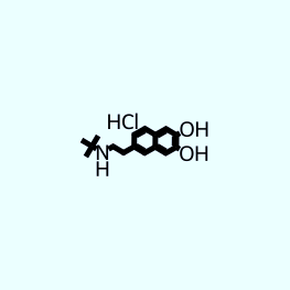 CC(C)(C)NCCc1ccc2cc(O)c(O)cc2c1.Cl